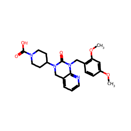 COc1ccc(CN2C(=O)N(C3CCN(C(=O)O)CC3)Cc3cccnc32)c(OC)c1